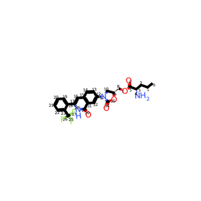 CCC[C@H](N)C(=O)OC[C@H]1CN(c2ccc3cc(-c4ccccc4C(F)(F)F)[nH]c(=O)c3c2)C(=O)O1